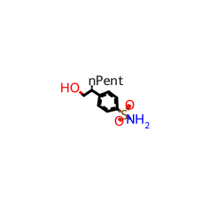 CCCCC[C@H](CO)c1ccc(S(N)(=O)=O)cc1